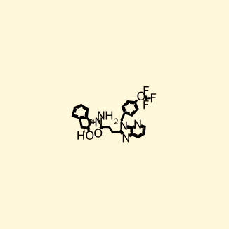 NN(C(=O)CCc1nc2cccnc2n1Cc1ccc(OC(F)(F)F)cc1)[C@@H]1c2ccccc2C[C@@H]1O